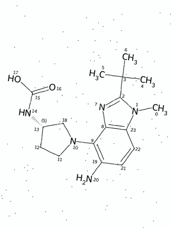 Cn1c(C(C)(C)C)nc2c(N3CC[C@H](NC(=O)O)C3)c(N)ccc21